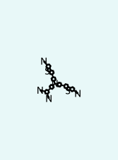 N#Cc1cc(C#N)cc(-c2ccc(N(c3ccc(-c4ccc5c(c4)sc4cc(C#N)ccc45)cc3)c3ccc(-c4ccc5c(c4)sc4cc(C#N)ccc45)cc3)cc2)c1